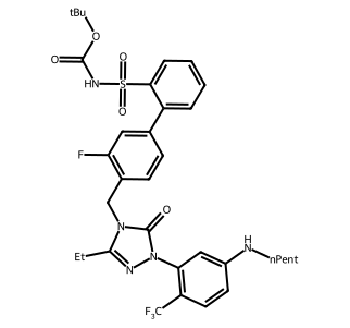 CCCCCNc1ccc(C(F)(F)F)c(-n2nc(CC)n(Cc3ccc(-c4ccccc4S(=O)(=O)NC(=O)OC(C)(C)C)cc3F)c2=O)c1